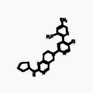 Cc1cnc(-c2cc(N3CCc4nc(NC5CCCC5)ncc4C3)ncc2Cl)c(C)c1